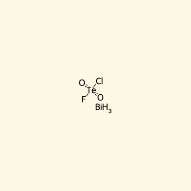 O=[Te](=O)(F)Cl.[BiH3]